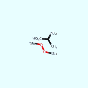 CC(C)(C)OOC(C)(C)C.CCCCC(C)C(=O)O